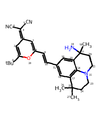 CC(C)(C)C1=CC(=C(C#N)C#N)C=C(/C=C/c2cc3c4c(c2)C(C)(N)CCN4CCC3(C)C)O1